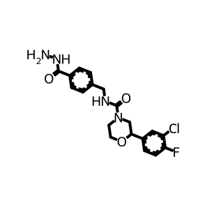 NNC(=O)c1ccc(CNC(=O)N2CCOC(c3ccc(F)c(Cl)c3)C2)cc1